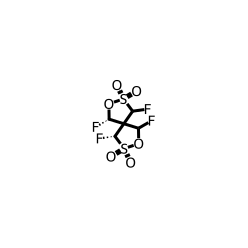 O=S1(=O)O[C@@H](F)C2(C(F)OS(=O)(=O)[C@@H]2F)C1F